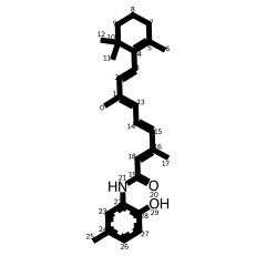 CC(C=CC1=C(C)CCCC1(C)C)=CC=CC(C)=CC(=O)Nc1cc(C)ccc1O